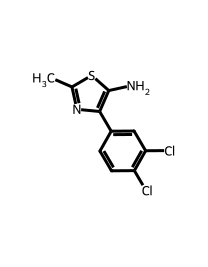 Cc1nc(-c2ccc(Cl)c(Cl)c2)c(N)s1